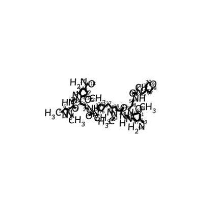 CCn1nc(C)cc1C(=O)Nc1nc2cc(C(N)=O)cc(OC)c2n1CCCNC(=O)N(C)C1CCC(Cc2cc(C(=O)Nc3nc4cc(CN)cc(OC)c4n3CCCNC(=O)N(C)CC3CCOCC3)n(CC)n2)C1